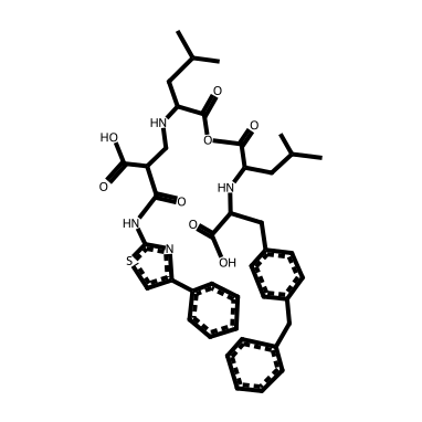 CC(C)CC(NCC(C(=O)O)C(=O)Nc1nc(-c2ccccc2)cs1)C(=O)OC(=O)C(CC(C)C)NC(Cc1ccc(Cc2ccccc2)cc1)C(=O)O